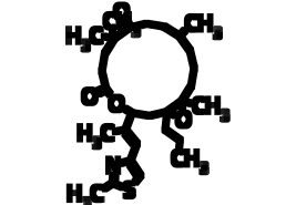 CCCC12CC(C(C)=Cc3csc(C)n3)OC(=O)CCC(C)(C)C(=O)CCC(C)CCCC1(C)O2